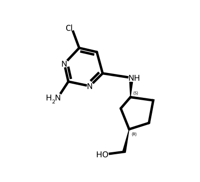 Nc1nc(Cl)cc(N[C@H]2CC[C@@H](CO)C2)n1